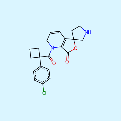 O=C1OC2(CCNC2)C2=C1N(C(=O)C1(c3ccc(Cl)cc3)CCC1)CC=C2